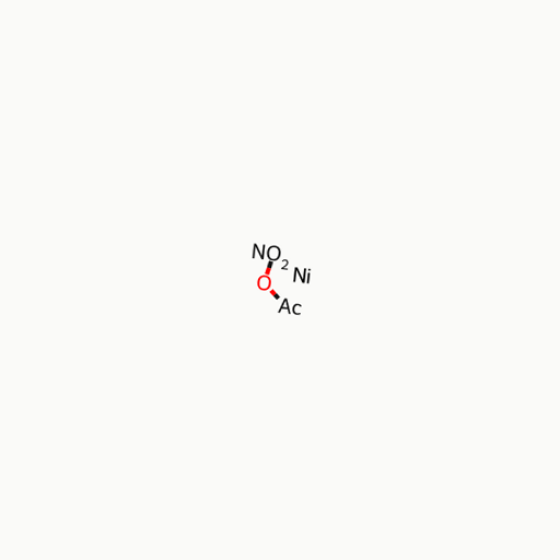 CC(=O)O[N+](=O)[O-].[Ni]